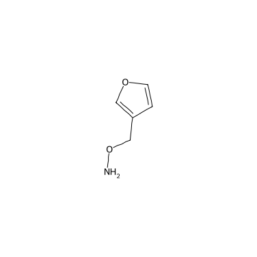 NOCc1ccoc1